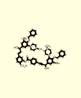 CN1CCN(c2cc(C(O)C#Cc3ccc(C(=O)Oc4cc(C=CC(O)c5cc(N6CCN(C)CC6)c(OCc6ccccc6)c(C(C)(C)C)c5)ccc4C(=O)O)cc3)cc(C(C)(C)C)c2OCc2ccccc2)CC1